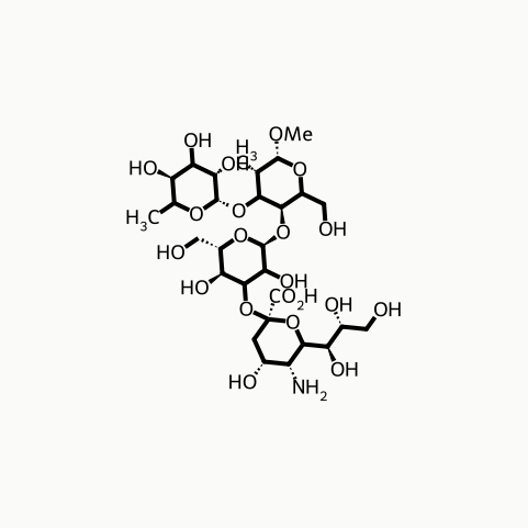 CO[C@@H]1OC(CO)[C@@H](O[C@@H]2O[C@@H](CO)[C@H](O)C(O[C@]3(C(=O)O)C[C@@H](O)[C@@H](N)C([C@H](O)[C@H](O)CO)O3)C2O)C(O[C@@H]2OC(C)[C@@H](O)C(O)[C@@H]2O)[C@@H]1C